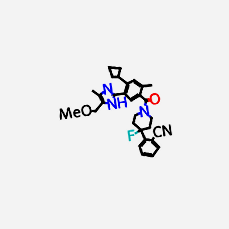 COCc1[nH]c(-c2cc(C(=O)N3CCC(F)(c4ccccc4C#N)CC3)c(C)cc2C2CCC2)nc1C